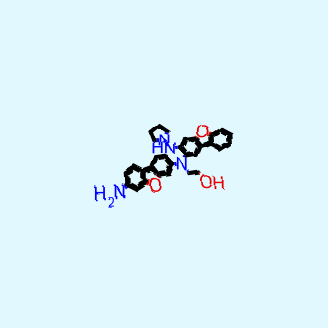 Nc1ccc2c(c1)oc1cc(N(CCO)c3cc4c(cc3NN3CCCC3)oc3ccccc34)ccc12